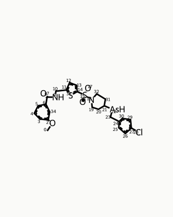 COc1cccc(C(=O)NCc2ccc(S(=O)(=O)N3CCC([AsH]Cc4ccc(Cl)cc4)CC3)s2)c1